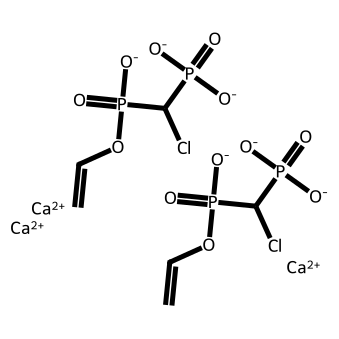 C=COP(=O)([O-])C(Cl)P(=O)([O-])[O-].C=COP(=O)([O-])C(Cl)P(=O)([O-])[O-].[Ca+2].[Ca+2].[Ca+2]